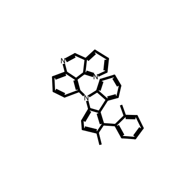 Cc1ccccc1-c1c(C)ccc2c1c1ccccc1n2-c1cccc2ncc3cccnc3c12